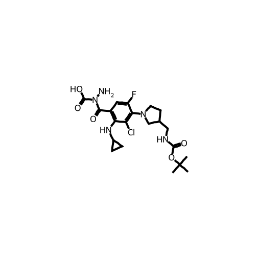 CC(C)(C)OC(=O)NCC1CCN(c2c(F)cc(C(=O)N(N)C(=O)O)c(NC3CC3)c2Cl)C1